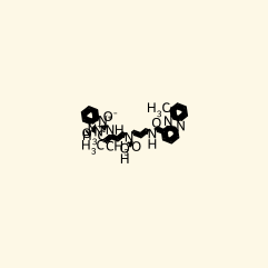 Cc1cccc2nc3cccc(C(=O)NCCCN(CCC(Nc4n[n+]([O-])c5ccccc5[n+]4[O-])C(C)(C)C)C(=O)O)c3nc12